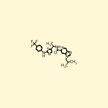 CC(C)Cn1cnc2cnc(C(=O)NC(C)c3cnc(Nc4ccc(C(F)(F)F)cc4)s3)cc21